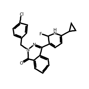 O=c1c2ccccc2c(C2=CC=C(C3CC3)NC2F)nn1Cc1ccc(Cl)cc1